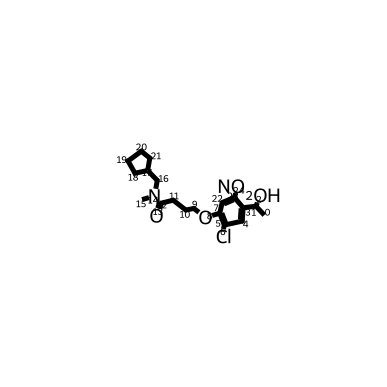 CC(O)c1cc(Cl)c(OCCCC(=O)N(C)CC2CCCC2)cc1[N+](=O)[O-]